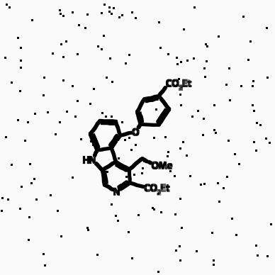 CCOC(=O)c1ccc(Oc2cccc3[nH]c4cnc(C(=O)OCC)c(COC)c4c23)cc1